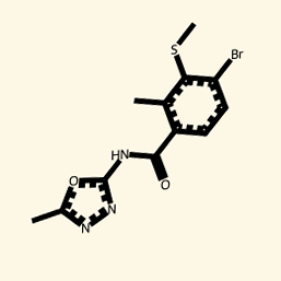 CSc1c(Br)ccc(C(=O)Nc2nnc(C)o2)c1C